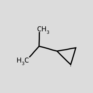 CC(C)C1[CH]C1